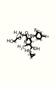 Cc1nc(C(=O)N(N)OCCO)c(Nc2ccc(I)cc2F)cc1[C@H](O)NC1CC1